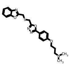 CN(C)CCCOc1ccc(-c2nnc(CSCc3nc4ccccc4o3)o2)cc1